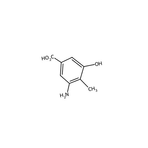 Cc1c(N)cc(C(=O)O)cc1O